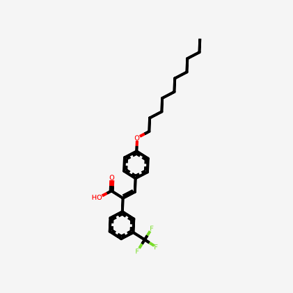 CCCCCCCCCCOc1ccc(C=C(C(=O)O)c2cccc(C(F)(F)F)c2)cc1